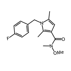 CON(C)C(=O)c1cc(C)n(Cc2ccc(F)cc2)c1C